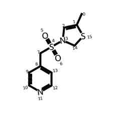 CC1=CN(S(=O)(=O)Cc2ccncc2)CS1